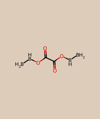 BBOC(=O)C(=O)OBB